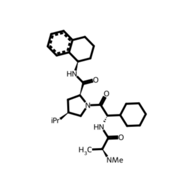 CN[C@@H](C)C(=O)N[C@H](C(=O)N1C[C@@H](C(C)C)C[C@H]1C(=O)N[C@@H]1CCCc2ccccc21)C1CCCCC1